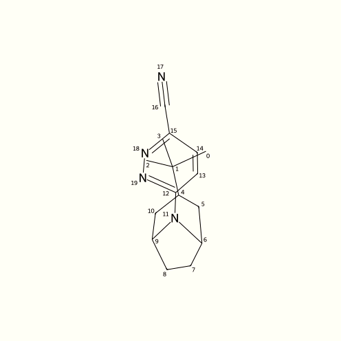 CC(C)(C)C1CC2CCC(C1)N2c1ccc(C#N)nn1